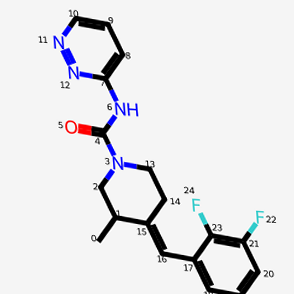 CC1CN(C(=O)Nc2cccnn2)CC/C1=C\c1cccc(F)c1F